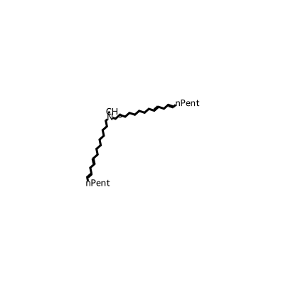 CCCCCC=CCC=CCCCCCCCCN(C)CCCCCCCCC=CCC=CCCCCC